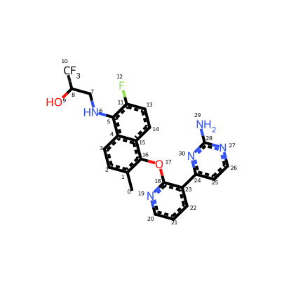 Cc1ccc2c(NCC(O)C(F)(F)F)c(F)ccc2c1Oc1ncccc1-c1ccnc(N)n1